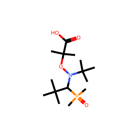 CC(C)(ON(C(C(C)(C)C)P(C)(C)=O)C(C)(C)C)C(=O)O